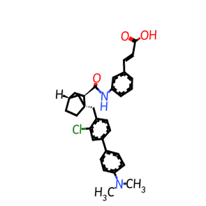 CN(C)c1ccc(-c2ccc(C[C@@]34CC[C@H](C[C@H]3C(=O)Nc3cccc(/C=C/C(=O)O)c3)C4)c(Cl)c2)cc1